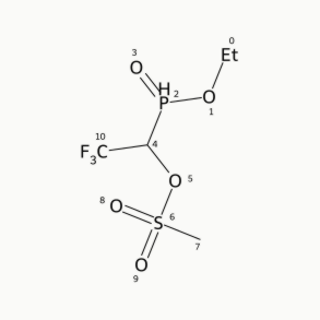 CCO[PH](=O)C(OS(C)(=O)=O)C(F)(F)F